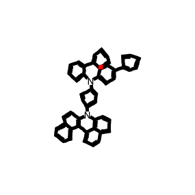 c1ccc(-c2ccc(N(c3ccc(N4c5ccc6ccccc6c5-c5cccc6cccc4c56)cc3)c3ccccc3-c3ccccc3)cc2)cc1